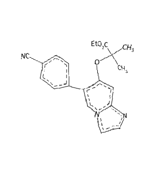 CCOC(=O)C(C)(C)Oc1cc2nccn2cc1-c1ccc(C#N)cc1